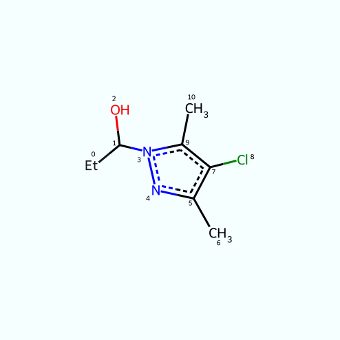 CCC(O)n1nc(C)c(Cl)c1C